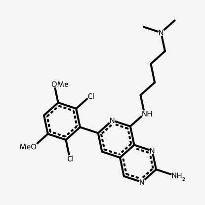 COc1cc(OC)c(Cl)c(-c2cc3cnc(N)nc3c(NCCCCN(C)C)n2)c1Cl